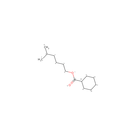 CC(C)CCCCOC(=O)C1CCCCC1